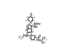 CCC(NC(=O)c1cccc(-c2cc3c(C(=O)NC)c(-c4ccc(F)cc4)oc3nc2NCC(F)(F)F)c1)C(F)(F)F